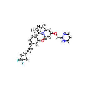 Cc1cc(OCc2ncccn2)cc(=O)n1[C@H](C)c1ccc(C#CC2CC(F)(F)C2)cc1